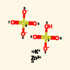 O=S(=O)([O-])O.O=S(=O)([O-])[O-].[K+].[Zn+2]